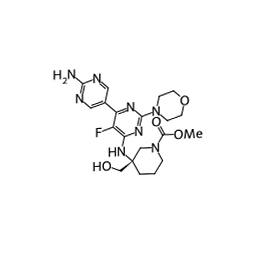 COC(=O)N1CCC[C@](CO)(Nc2nc(N3CCOCC3)nc(-c3cnc(N)nc3)c2F)C1